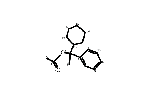 CC(=O)OC(C)(c1ccccc1)C1CCCCC1